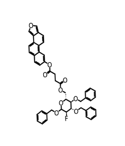 O=C(CCC(=O)Oc1ccc2ccc3c4cocc4ccc3c2c1)OC[C@H]1OC(OCc2ccccc2)[C@H](F)[C@@H](OCc2ccccc2)[C@@H]1OCc1ccccc1